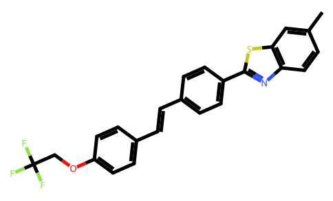 Cc1ccc2nc(-c3ccc(/C=C/c4ccc(OCC(F)(F)F)cc4)cc3)sc2c1